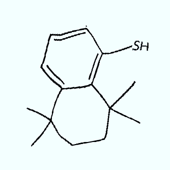 CC1(C)CCC(C)(C)c2c(S)[c]ccc21